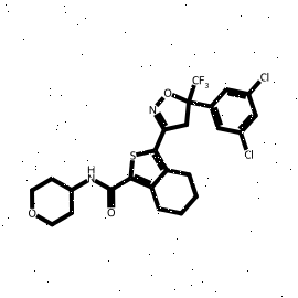 O=C(NC1CCOCC1)c1sc(C2=NOC(c3cc(Cl)cc(Cl)c3)(C(F)(F)F)C2)c2c1CCCC2